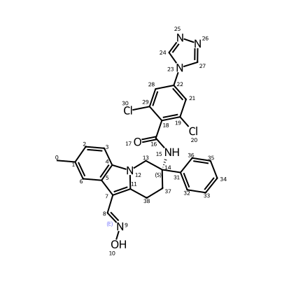 Cc1ccc2c(c1)c(/C=N/O)c1n2C[C@@](NC(=O)c2c(Cl)cc(-n3cnnc3)cc2Cl)(c2ccccc2)CC1